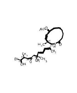 CC[C@H](O)[C@@H](C)[C@H]1O[C@@H]1C[C@@](C)(O)C=CC=C(C)[C@H]1NC(=O)CCCCCC(OC(C)=O)C=C[C@@H]1C